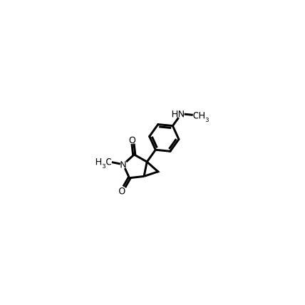 CNc1ccc(C23CC2C(=O)N(C)C3=O)cc1